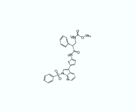 CC(C)(C)OC(=O)NCC(C(=O)Nc1ccc(-c2cn(S(=O)(=O)c3ccccc3)c3ncccc23)s1)c1ccccc1